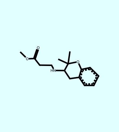 COC(=O)CCNC1Cc2ccccc2OC1(C)C